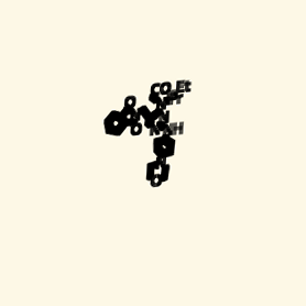 CCOC(=O)CN(c1nc(Nc2ccc(N3CCOCC3)cc2)ncc1CN1C(=O)c2ccccc2C1=O)C(C)C